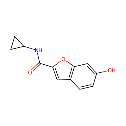 O=C(NC1CC1)c1cc2ccc(O)cc2o1